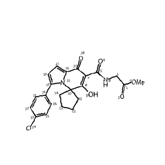 COC(=O)CNC(=O)C1=C(O)C2(CCCC2)n2c(ccc2-c2ccc(Cl)cc2)C1=O